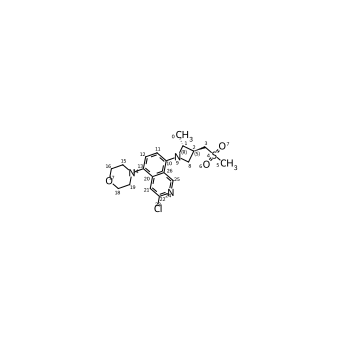 C[C@@H]1[C@@H](CS(C)(=O)=O)CN1c1ccc(N2CCOCC2)c2cc(Cl)ncc12